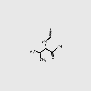 CC(C)[C@H](NC=S)C(=O)O